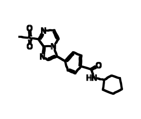 CS(=O)(=O)c1nccn2c(-c3ccc(C(=O)NC4CCCCC4)cc3)cnc12